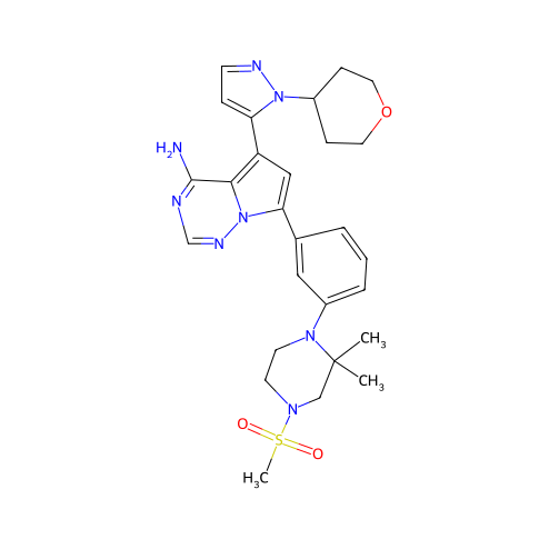 CC1(C)CN(S(C)(=O)=O)CCN1c1cccc(-c2cc(-c3ccnn3C3CCOCC3)c3c(N)ncnn23)c1